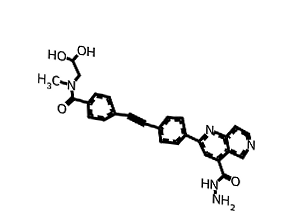 CN(CC(O)O)C(=O)c1ccc(C#Cc2ccc(-c3cc(C(=O)NN)c4cnccc4n3)cc2)cc1